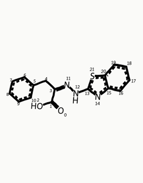 O=C(O)C(Cc1ccccc1)=NNc1nc2ccccc2s1